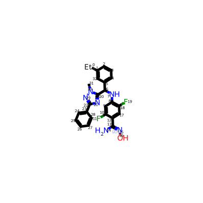 CCc1cccc(C(Nc2cc(F)c(/C(N)=N/O)cc2F)c2nc(-c3ccccc3)nn2C)c1